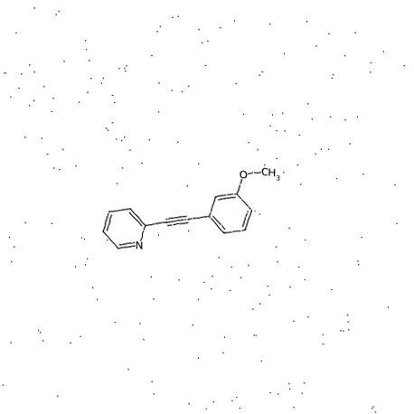 COc1[c]ccc(C#Cc2ccccn2)c1